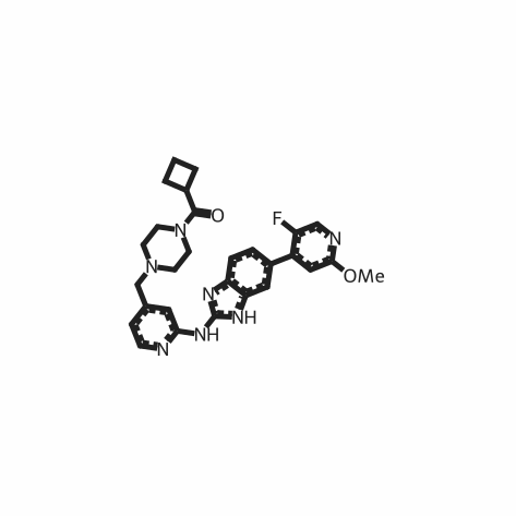 COc1cc(-c2ccc3nc(Nc4cc(CN5CCN(C(=O)C6CCC6)CC5)ccn4)[nH]c3c2)c(F)cn1